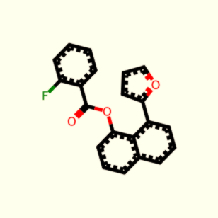 O=C(Oc1cccc2cccc(-c3ccco3)c12)c1ccccc1F